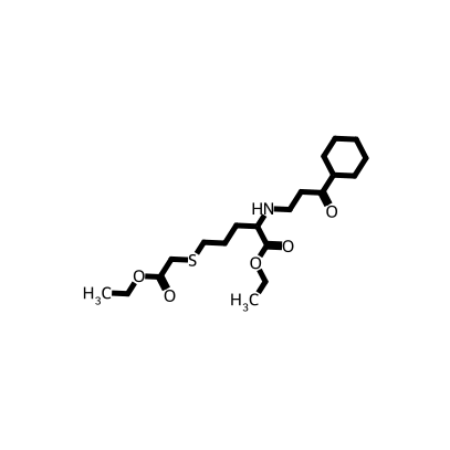 CCOC(=O)CSCCCC(NCCC(=O)C1CCCCC1)C(=O)OCC